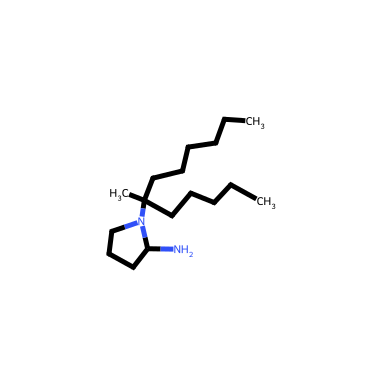 CCCCCCC(C)(CCCCC)N1CCCC1N